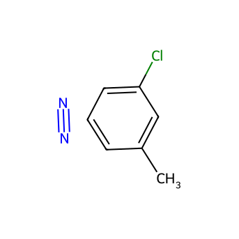 Cc1cccc(Cl)c1.N#N